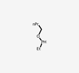 CCCCOPCC